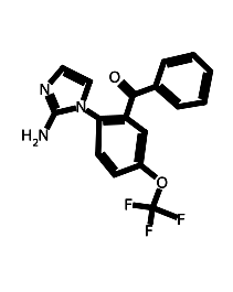 Nc1nccn1-c1ccc(OC(F)(F)F)cc1C(=O)c1ccccc1